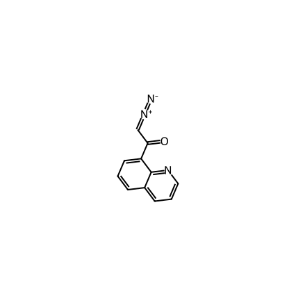 [N-]=[N+]=CC(=O)c1cccc2cccnc12